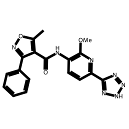 COc1nc(-c2nn[nH]n2)ccc1NC(=O)c1c(-c2ccccc2)noc1C